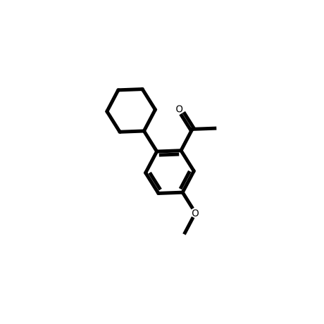 COc1ccc(C2CCCCC2)c(C(C)=O)c1